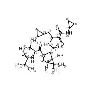 CC(C)C(=O)NC(C(=O)N1C[C@H]2[C@@H]([C@H]1C(=O)NC(CC1CC1)C(=O)C(=O)NC1CC1)C2(C)C)C(C)C